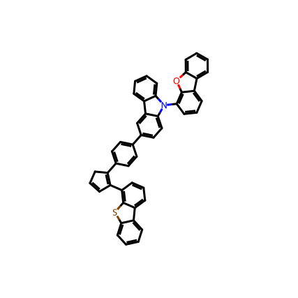 C1=CC(c2cccc3c2sc2ccccc23)=C(c2ccc(-c3ccc4c(c3)c3ccccc3n4-c3cccc4c3oc3ccccc34)cc2)C1